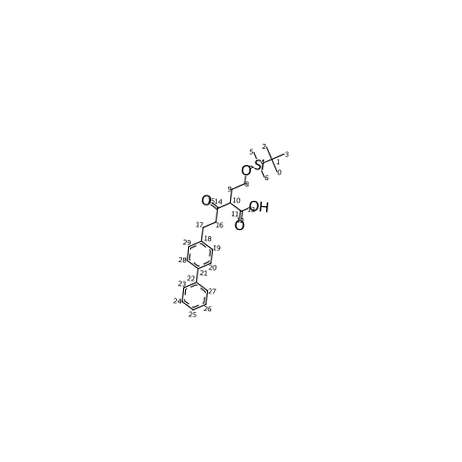 CC(C)(C)[Si](C)(C)OCCC(C(=O)O)C(=O)CCc1ccc(-c2ccccc2)cc1